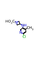 Cc1cc(Cl)ncc1NC1CN(C(=O)O)C1